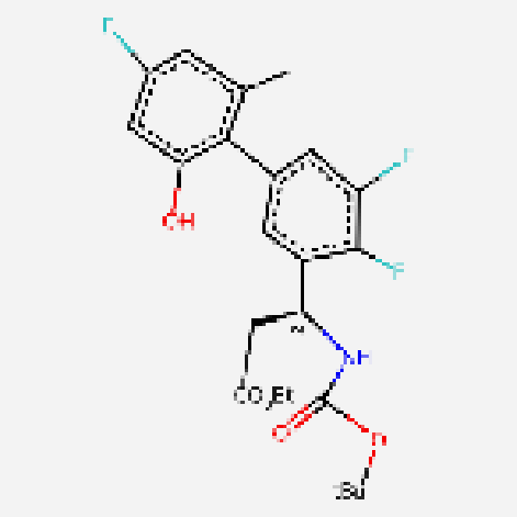 CCOC(=O)C[C@H](NC(=O)OC(C)(C)C)c1cc(-c2c(C)cc(F)cc2O)cc(F)c1F